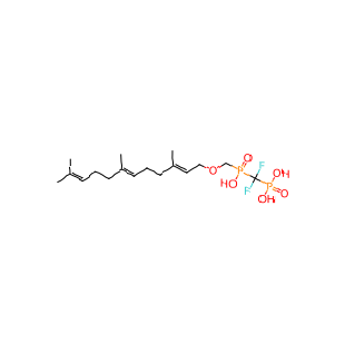 CC(C)=CCC/C(C)=C/CC/C(C)=C/COCP(=O)(O)C(F)(F)P(=O)(O)O